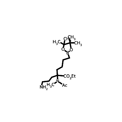 CCOC(=O)C(CCCN)(CCCCB1OC(C)(C)C(C)(C)O1)N(C)C(C)=O